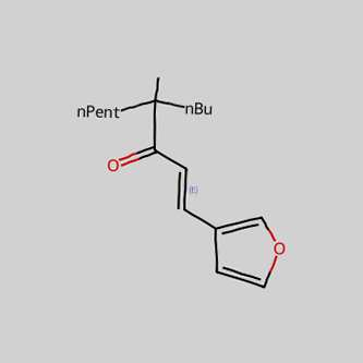 CCCCCC(C)(CCCC)C(=O)/C=C/c1ccoc1